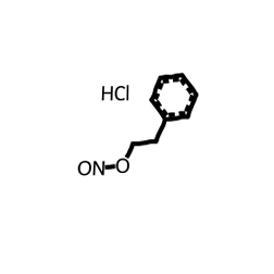 Cl.O=NOCCc1ccccc1